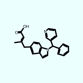 CC(=CC(=O)O)Cc1ccc2c(ccn2C(c2ccccc2)c2cccnc2)c1